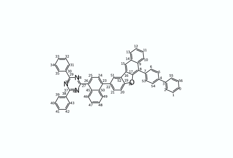 c1ccc(-c2ccc(-c3c4ccccc4cc4c3oc3ccc(-c5ccc(-c6nc(-c7ccccc7)nc(-c7ccccc7)n6)c6ccccc56)cc34)cc2)cc1